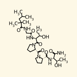 CC(C)CC(C)(C)C(=O)NCC(=O)N[C@H](C(=O)N1CCC[C@H]1C(=O)N1CCC[C@H]1C(=O)N[C@H](C(N)=O)[C@@H](C)O)[C@@H](C)O